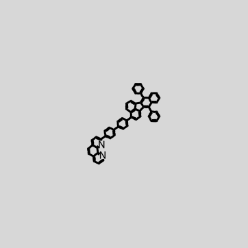 c1ccc(-c2c3c(c(-c4ccccc4)c4ccccc24)-c2ccc(-c4ccc(-c5ccc(-c6ccc7ccc8cccnc8c7n6)cc5)cc4)c4cccc-3c24)cc1